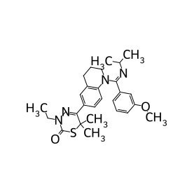 CCN1N=C(c2ccc3c(c2)CCCN3/C(=N\C(C)C)c2cccc(OC)c2)C(C)(C)SC1=O